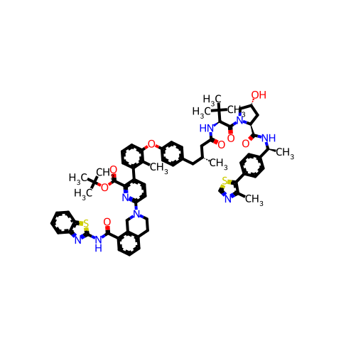 Cc1ncsc1-c1ccc([C@H](C)NC(=O)[C@@H]2C[C@@H](O)CN2C(=O)[C@@H](NC(=O)C[C@H](C)Cc2ccc(Oc3cccc(-c4ccc(N5CCc6cccc(C(=O)Nc7nc8ccccc8s7)c6C5)nc4C(=O)OC(C)(C)C)c3C)cc2)C(C)(C)C)cc1